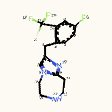 Fc1ccc(Cc2cn3c(n2)CCNCC3)c(C(F)(F)F)c1